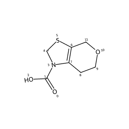 O=C(O)N1[CH]SC2=C1CCOC2